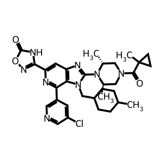 CC1CCC(Cn2c(N3[C@H](C)CN(C(=O)C4(C)CC4)C[C@H]3C)nc3cc(-c4noc(=O)[nH]4)nc(-c4cncc(Cl)c4)c32)CC1